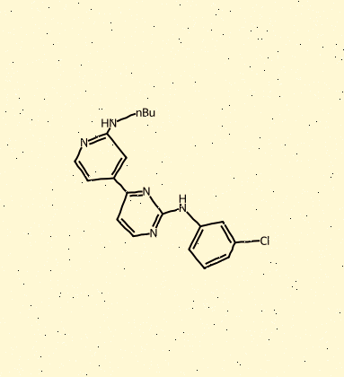 CCCCNc1cc(-c2ccnc(Nc3cccc(Cl)c3)n2)ccn1